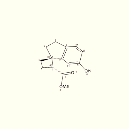 COC(=O)[C@@H]1CC[C@]12CCc1ccc(O)cc12